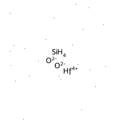 [Hf+4].[O-2].[O-2].[SiH4]